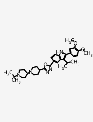 COc1ccc(-c2[nH]c3ccc(-c4nnc(C5CCN(C6CCN(C(C)C)CC6)CC5)o4)cc3c2C(C)C)cc1OC